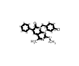 CSc1nc(C)c2cc(-c3ccccc3)c(=O)n(Cc3ccc(Cl)cc3)c2n1